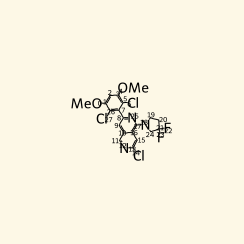 COc1cc(OC)c(Cl)c(-c2cc3cnc(Cl)cc3c(N3CCC(F)(F)C3)n2)c1Cl